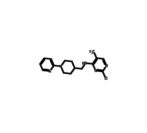 FC(F)(F)c1cnc(Cl)nc1NCC1CCN(c2ccccn2)CC1